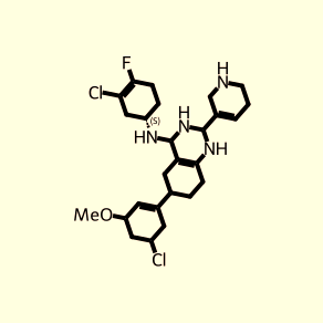 COC1C=C(C2CCC3=C(C2)C(N[C@H]2CCC(F)=C(Cl)C2)NC(C2=CCCNC2)N3)CC(Cl)C1